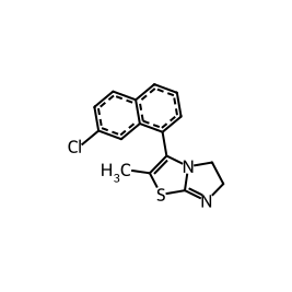 CC1=C(c2cccc3ccc(Cl)cc23)N2CCN=C2S1